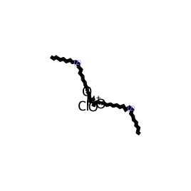 CCCCCCCC/C=C\CCCCCCCCOCC[N+](C)(C)C(=O)COCCCCCCCC/C=C\CCCCCCCC.[Cl-]